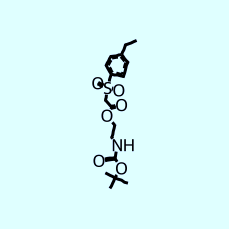 CCc1ccc(S(=O)(=O)CC(=O)OCCNC(=O)OC(C)(C)C)cc1